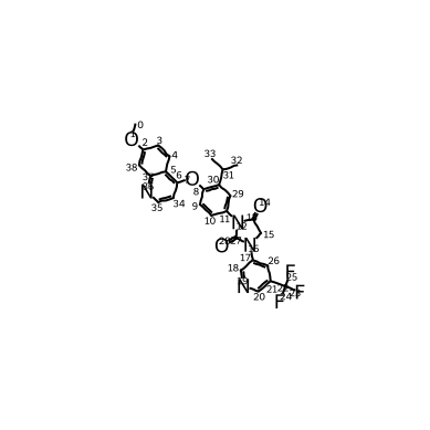 COc1ccc2c(Oc3ccc(N4C(=O)CN(c5cncc(C(F)(F)F)c5)C4=O)cc3C(C)C)ccnc2c1